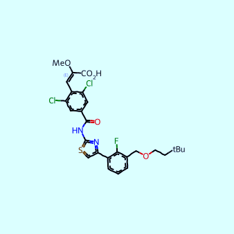 CO/C(=C/c1c(Cl)cc(C(=O)Nc2nc(-c3cccc(COCCC(C)(C)C)c3F)cs2)cc1Cl)C(=O)O